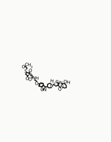 CC(=O)CSC1CC(=O)N(CC(=O)NCCOc2ccc3c(C4CCN(CCc5c(C)nc6n(c5=O)CCCC6O)CC4)noc3c2)C1=O